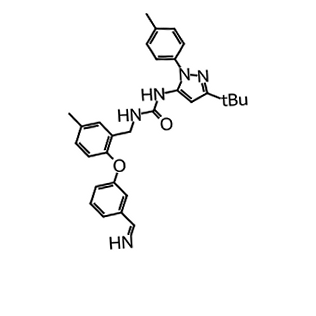 Cc1ccc(-n2nc(C(C)(C)C)cc2NC(=O)NCc2cc(C)ccc2Oc2cccc(C=N)c2)cc1